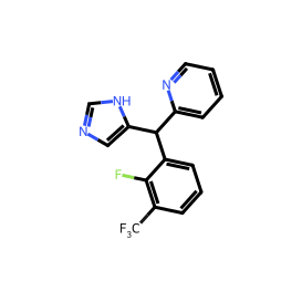 Fc1c(C(c2ccccn2)c2cnc[nH]2)cccc1C(F)(F)F